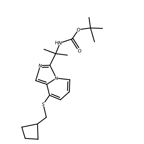 CC(C)(C)OC(=O)NC(C)(C)c1ncc2c(SCC3CCC3)cccn12